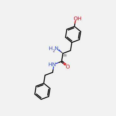 N[C@@H](Cc1ccc(O)cc1)C(=O)NCCc1ccccc1